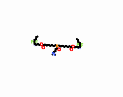 CCCCC(F)(F)/C=C\CCOC(=O)CCCCCCCP(CCCCCCCC(=O)OCC/C=C\C(F)(F)CCCC)C(=O)CCCN(C)C